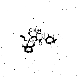 C=CCOc1c(I)cccc1CN1O[C@@H](CO)[C@@H]([C@H](C)O)[C@H]1C(=O)N[C@H]1C[C@@H](C)C(C)(C)[C@@H](C)[C@@H]1C